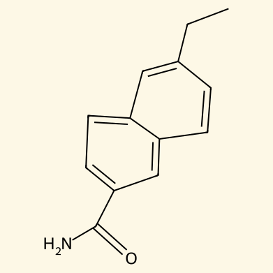 CCc1ccc2cc(C(N)=O)ccc2c1